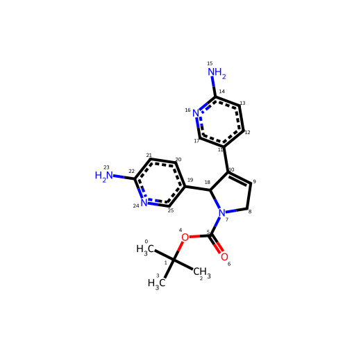 CC(C)(C)OC(=O)N1CC=C(c2ccc(N)nc2)C1c1ccc(N)nc1